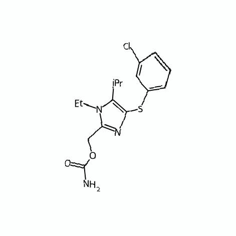 CCn1c(COC(N)=O)nc(Sc2cccc(Cl)c2)c1C(C)C